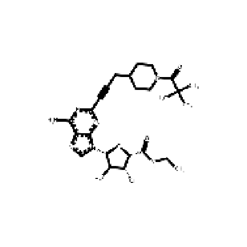 CCNC(=O)[C@H]1O[C@@H](n2cnc3c(N)nc(C#CCC4CCN(C(=O)C(C)(C)C)CC4)nc32)C(O)[C@H]1O